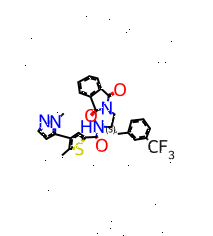 Cc1sc(C(=O)N[C@@H](Cc2cccc(C(F)(F)F)c2)CN2C(=O)c3ccccc3C2=O)cc1-c1ccnn1C